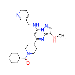 CBc1cnn2c(NCc3cccnc3)cc(C3CCN(C(=O)C4CCCCC4)CC3)nc12